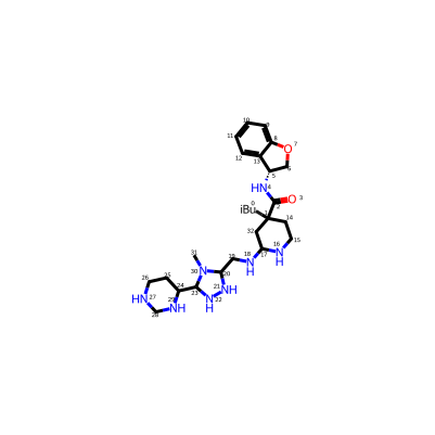 CCC(C)C1(C(=O)N[C@H]2COc3ccccc32)CCNC(NCC2NNC(C3CCNCN3)N2C)C1